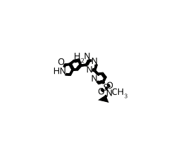 CN(C1CC1)S(=O)(=O)c1ccc(-c2cnc(N)c(-c3ccc4c(c3)CCNC4=O)n2)nc1